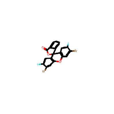 O=C1OC2(c3cc(F)c(Br)cc3Oc3cc(Br)c(F)cc32)c2ccccc21